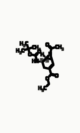 CCOC(=O)C1=CC2[C@@H]([C@@H](NC(=O)OC(C)(C)C)C1)N2C(C)=O